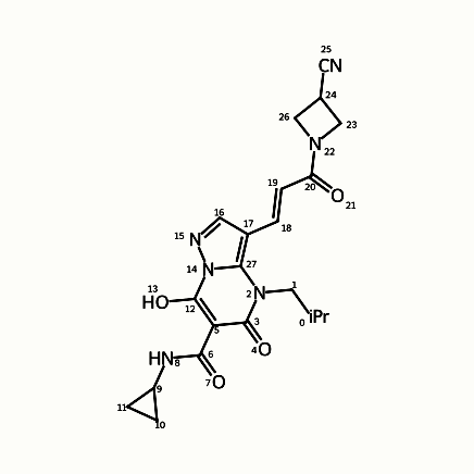 CC(C)Cn1c(=O)c(C(=O)NC2CC2)c(O)n2ncc(C=CC(=O)N3CC(C#N)C3)c12